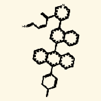 C=C(/C=C\C=N)c1cnccc1-c1ccc(-c2c3ccccc3c(C3=CCC(C)C=C3)c3ccccc23)c2ccccc12